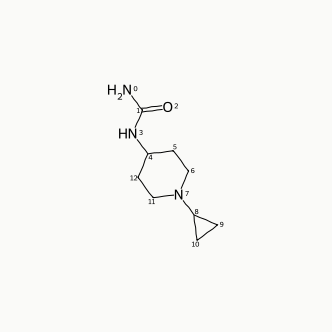 NC(=O)NC1CCN(C2CC2)CC1